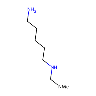 CNCNCCCCCN